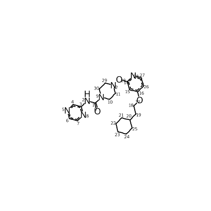 O=C(Nc1cnccn1)N1CCN(Oc2cc(OCCC3CCCCC3)ccn2)CC1